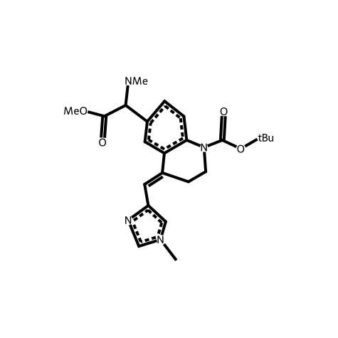 CNC(C(=O)OC)c1ccc2c(c1)/C(=C/c1cn(C)cn1)CCN2C(=O)OC(C)(C)C